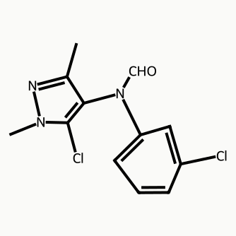 Cc1nn(C)c(Cl)c1N(C=O)c1cccc(Cl)c1